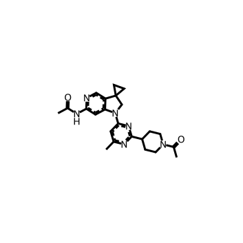 CC(=O)Nc1cc2c(cn1)C1(CC1)CN2c1cc(C)nc(C2CCN(C(C)=O)CC2)n1